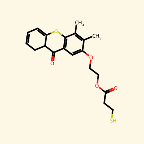 Cc1c(OCCOC(=O)CCS)cc2c(c1C)SC1=CC=CCC1C2=O